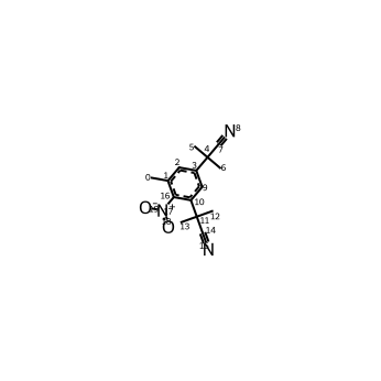 Cc1cc(C(C)(C)C#N)cc(C(C)(C)C#N)c1[N+](=O)[O-]